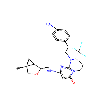 Nc1ccc(CCN2c3nc(NC[C@H]4OC[C@@H]5CC54)cc(=O)n3CC[C@H]2C(F)(F)F)cc1